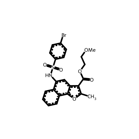 COCCOC(=O)c1c(C)oc2c1cc(NS(=O)(=O)c1ccc(Br)cc1)c1ccccc12